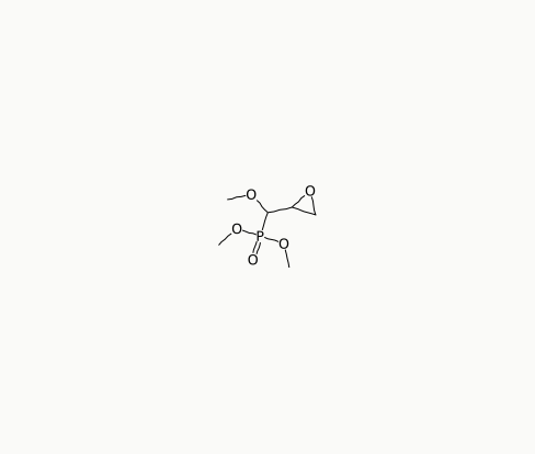 COC(C1CO1)P(=O)(OC)OC